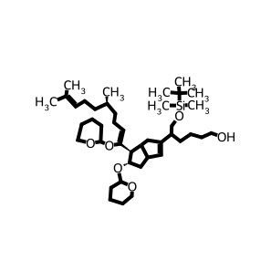 CC(C)=CCC[C@@H](C)CCC=C(OC1CCCCO1)[C@H]1C2CC(C(CCCCO)CO[Si](C)(C)C(C)(C)C)=CC2C[C@@H]1OC1CCCCO1